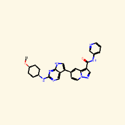 CCO[C@H]1CC[C@@H](Nc2ncc3c(-c4ccn5ncc(C(=O)Nc6cccnc6)c5c4)c[nH]c3n2)CC1